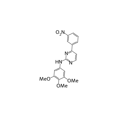 COc1cc(Nc2nccc(-c3cccc([N+](=O)[O-])c3)n2)cc(OC)c1OC